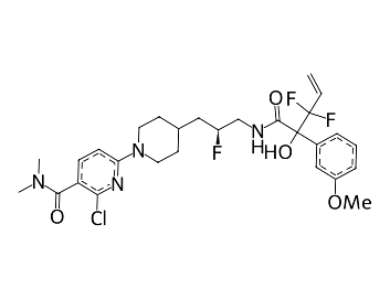 C=CC(F)(F)C(O)(C(=O)NC[C@@H](F)CC1CCN(c2ccc(C(=O)N(C)C)c(Cl)n2)CC1)c1cccc(OC)c1